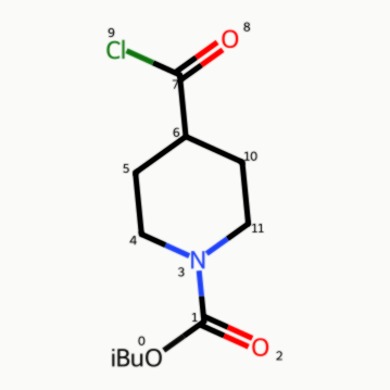 CC(C)COC(=O)N1CCC(C(=O)Cl)CC1